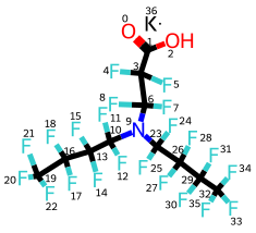 O=C(O)C(F)(F)C(F)(F)N(C(F)(F)C(F)(F)C(F)(F)C(F)(F)F)C(F)(F)C(F)(F)C(F)(F)C(F)(F)F.[K]